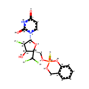 O=c1ccn([C@@H]2O[C@@](COP3(=S)OCc4ccccc4O3)(C(F)F)[C@@H](O)[C@H]2F)c(=O)[nH]1